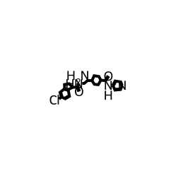 N[C@H](CNC(=O)C1CCc2cc(Cl)ccc21)C1CCC(C(=O)Nc2ccncc2)CC1